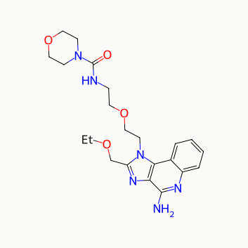 CCOCc1nc2c(N)nc3ccccc3c2n1CCOCCNC(=O)N1CCOCC1